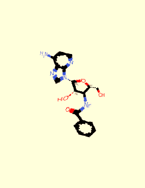 Nc1ccnc2c1ncn2[C@@H]1O[C@H](CO)C(NC(=O)c2ccccc2)[C@@H]1O